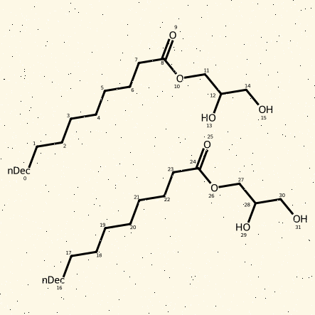 CCCCCCCCCCCCCCCCCC(=O)OCC(O)CO.CCCCCCCCCCCCCCCCCC(=O)OCC(O)CO